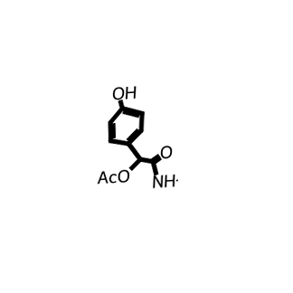 CC(=O)OC(C([NH])=O)c1ccc(O)cc1